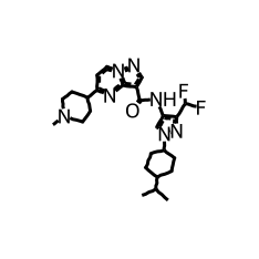 CC(C)C1CCC(n2cc(NC(=O)c3cnn4ccc(C5CCN(C)CC5)nc34)c(C(F)F)n2)CC1